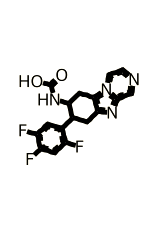 O=C(O)NC1Cc2c(nc3cnccn23)CC1c1cc(F)c(F)cc1F